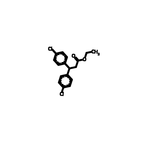 CCOC(=O)CC(c1ccc(Cl)cc1)c1ccc(Cl)cc1